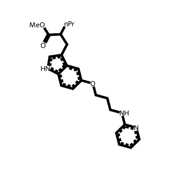 CCCC(Cc1c[nH]c2ccc(OCCCNc3ccccn3)cc12)C(=O)OC